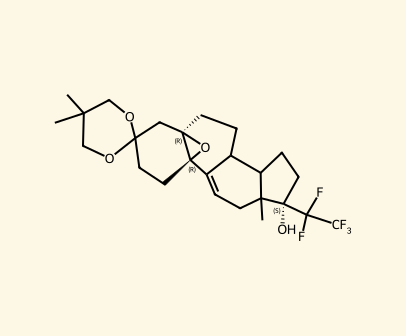 CC1(C)COC2(CC[C@]34O[C@]3(CCC3C4=CCC4(C)C3CC[C@@]4(O)C(F)(F)C(F)(F)F)C2)OC1